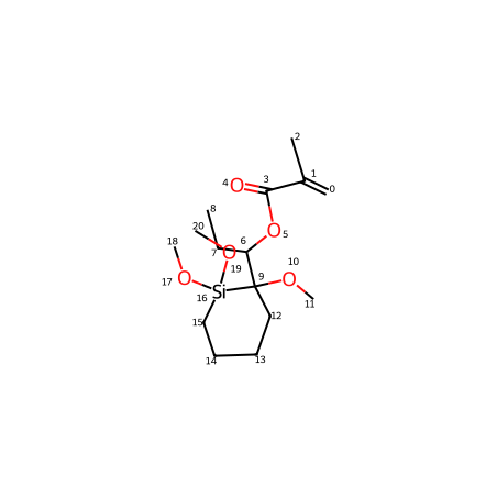 C=C(C)C(=O)OC(CC)C1(OC)CCCC[Si]1(OC)OC